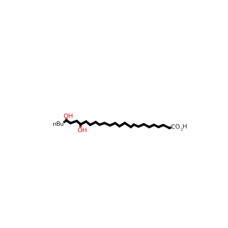 CCCCC(O)CCC(O)CCCCCCCCCCCCCCCCCCC(=O)O